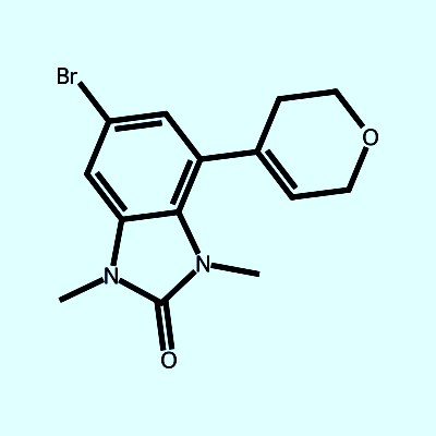 Cn1c(=O)n(C)c2c(C3=CCOCC3)cc(Br)cc21